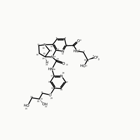 O=C(NC[C@H](O)C(F)(F)F)c1ccc2c(n1)N(C(=O)Nc1cc(OC[C@H](O)CO)ccn1)[C@H]1CCN2C1